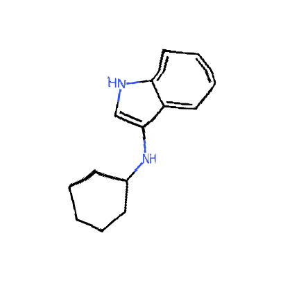 c1ccc2c(NC3CCCCC3)c[nH]c2c1